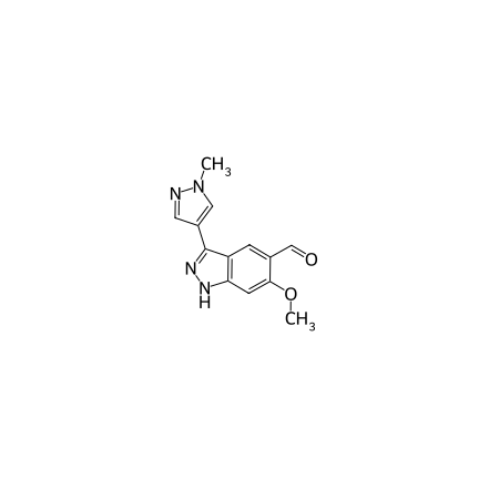 COc1cc2[nH]nc(-c3cnn(C)c3)c2cc1C=O